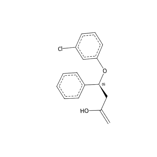 C=C(O)C[C@H](Oc1cccc(Cl)c1)c1ccccc1